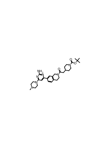 CN1CCN(c2cc(-c3ccc4c(c3)CN(C(=O)CC3CCN(C(=O)OC(C)(C)C)CC3)CC4)nc(N)n2)CC1